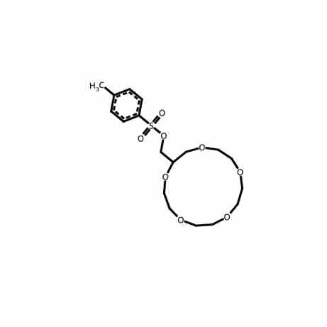 Cc1ccc(S(=O)(=O)OCC2COCCOCCOCCOCCO2)cc1